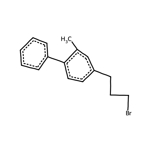 Cc1cc(CCCBr)ccc1-c1ccccc1